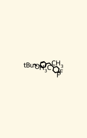 CC(C)(C)COc1ccc(CC(C)(C)C2CCC(F)(F)CC2)cc1